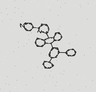 c1ccc(-c2cc(-c3ccccc3)cc(-c3c4ccccc4c(-c4cccc(-c5ccncc5)n4)c4ccccc34)c2)cc1